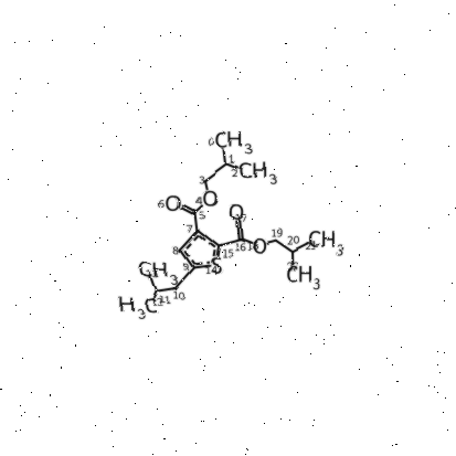 CC(C)COC(=O)c1cc(CC(C)C)sc1C(=O)OCC(C)C